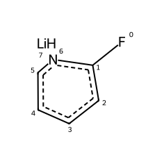 Fc1ccccn1.[LiH]